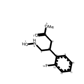 COC(=O)CC(CNO)c1ccccc1F